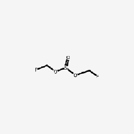 O=S(OCF)OCF